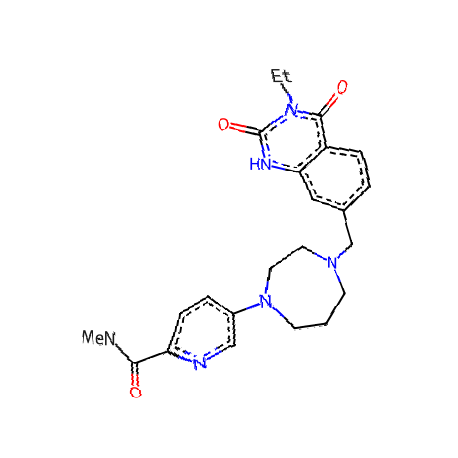 CCn1c(=O)[nH]c2cc(CN3CCCN(c4ccc(C(=O)NC)nc4)CC3)ccc2c1=O